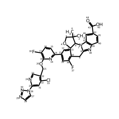 CC1(C)COCC1n1c(Cc2ccc(-c3ccc(F)c(OCc4cnc(-n5ccnn5)cc4Cl)n3)cc2F)nc2ccc(C(=O)O)cc21